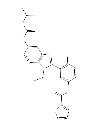 CCn1c(-c2cc(NC(=O)c3ccco3)ccc2Cl)nc2cc(NC(=O)OC(C)C)cnc21